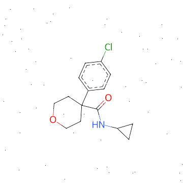 O=C(NC1CC1)C1(c2ccc(Cl)cc2)CCOCC1